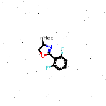 CCCCCCC1COC(c2c(F)cccc2F)=N1